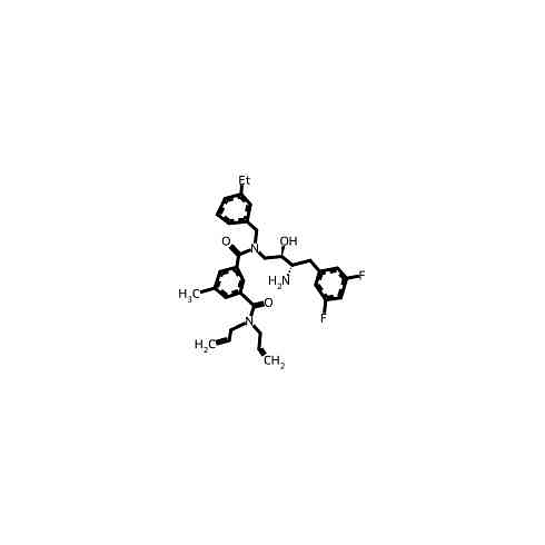 C=CCN(CC=C)C(=O)c1cc(C)cc(C(=O)N(Cc2cccc(CC)c2)C[C@@H](O)[C@@H](N)Cc2cc(F)cc(F)c2)c1